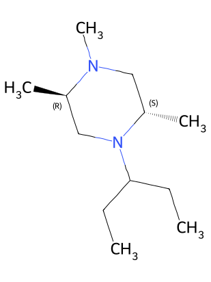 CCC(CC)N1C[C@@H](C)N(C)C[C@@H]1C